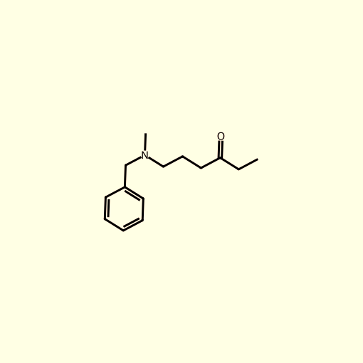 CCC(=O)CCCN(C)Cc1ccccc1